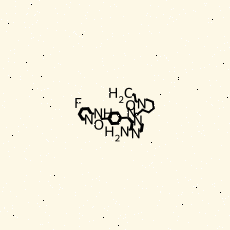 C=CC(=O)N1CCCCC1c1nc(-c2ccc(C(=O)Nc3cc(F)ccn3)cc2)c2c(N)nccn12